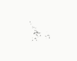 CC[C@H](C)[C@H](NC(=O)COCCF)C(=O)N[C@H]1CCc2cccc3c2N(C1=O)[C@H](C(=O)NCc1ccccc1C)C3